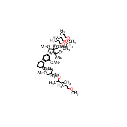 CCC(C)C(COC)COC.CCC(C)OC.CCCCC(CC)CC(COC)(C(C)C)C(OC)OC.CCCOC.CCCOC.CCCOC.CCCOC.COC1CCCCC1.COc1ccccc1